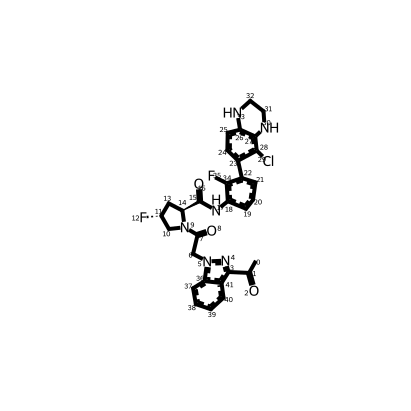 CC(=O)c1nn(CC(=O)N2C[C@H](F)C[C@H]2C(=O)Nc2cccc(-c3ccc4c(c3Cl)NCCN4)c2F)c2ccccc12